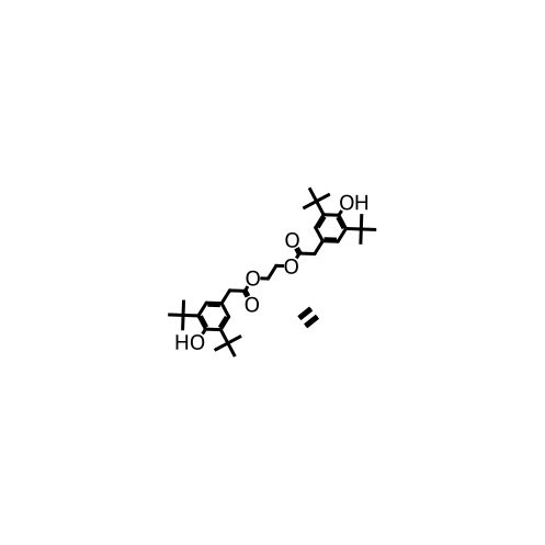 C=C.C=C.CC(C)(C)c1cc(CC(=O)OCCOC(=O)Cc2cc(C(C)(C)C)c(O)c(C(C)(C)C)c2)cc(C(C)(C)C)c1O